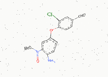 CO[N+](=O)c1cc(Oc2ccc(C=O)cc2Cl)ccc1N